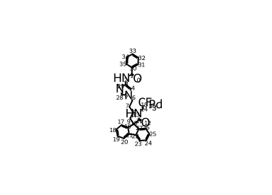 O=C(Nc1cn(CCCCC2(C(=O)NCC(F)(F)F)c3ccccc3-c3ccccc32)cn1)c1ccccc1.[Pd]